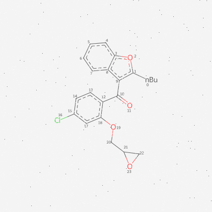 CCCCc1oc2ccccc2c1C(=O)c1ccc(Cl)cc1OCC1CO1